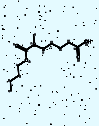 CCCCOC(=O)N(C)SCCCC(=O)O